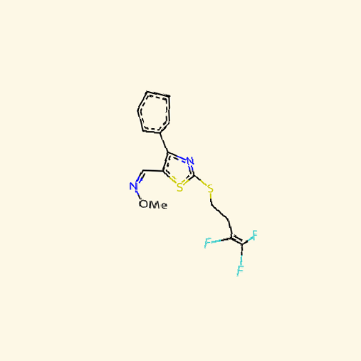 CO/N=C\c1sc(SCCC(F)=C(F)F)nc1-c1ccccc1